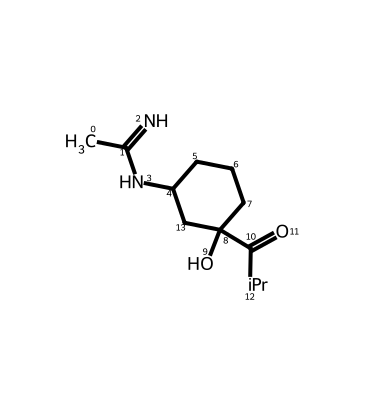 CC(=N)NC1CCCC(O)(C(=O)C(C)C)C1